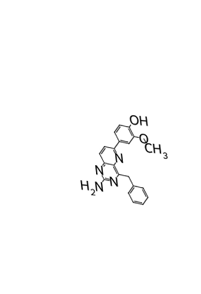 COc1cc(-c2ccc3nc(N)nc(Cc4ccccc4)c3n2)ccc1O